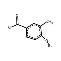 CCOc1ccc(C(=O)Cl)cc1C